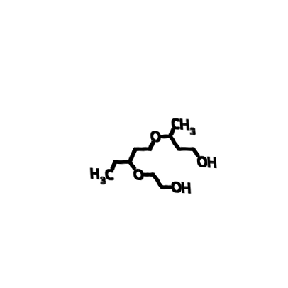 CCC(CCOC(C)CCO)OCCO